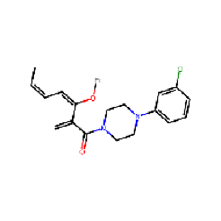 C=C(C(=O)N1CCN(c2cccc(Cl)c2)CC1)/C(=C\C=C/C)OCC